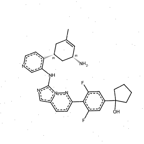 CC1=C[C@H](N)C[C@H](c2ccncc2Nc2ncc3ccc(-c4c(F)cc(C5(O)CCCC5)cc4F)nn23)C1